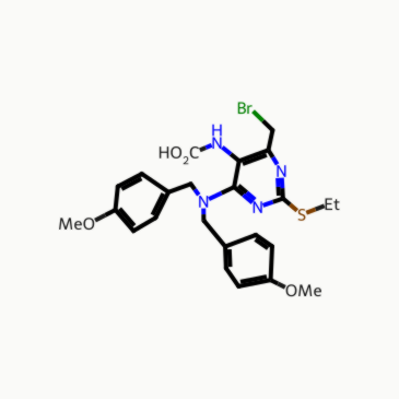 CCSc1nc(CBr)c(NC(=O)O)c(N(Cc2ccc(OC)cc2)Cc2ccc(OC)cc2)n1